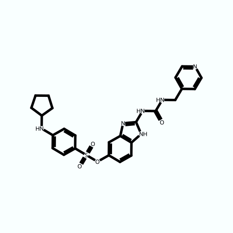 O=C(NCc1ccncc1)Nc1nc2cc(OS(=O)(=O)c3ccc(NC4CCCC4)cc3)ccc2[nH]1